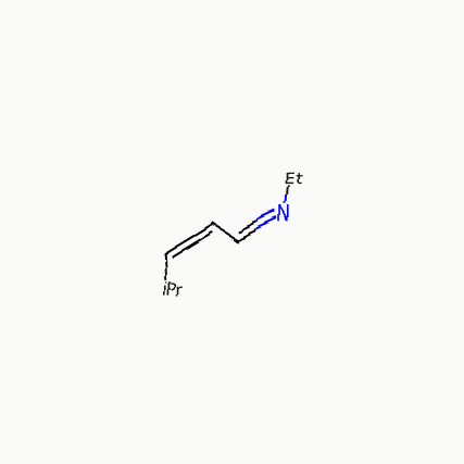 CC/N=C\C=C/C(C)C